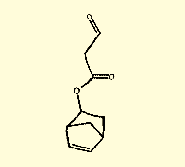 O=CCC(=O)OC1CC2C=CC1C2